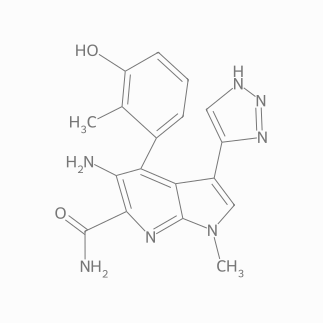 Cc1c(O)cccc1-c1c(N)c(C(N)=O)nc2c1c(-c1c[nH]nn1)cn2C